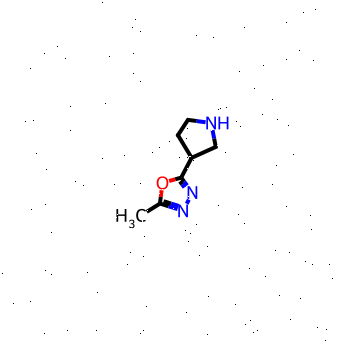 Cc1nnc(C2CCNC2)o1